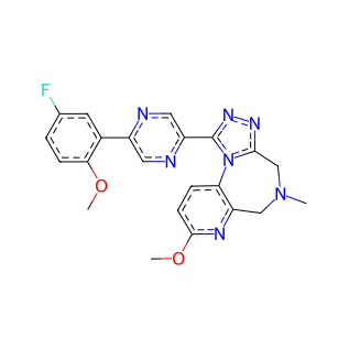 COc1ccc2c(n1)CN(C)Cc1nnc(-c3cnc(-c4cc(F)ccc4OC)cn3)n1-2